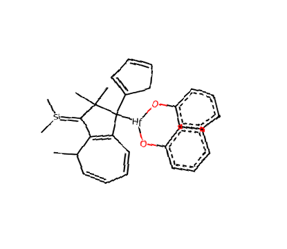 CC1C=CC=CC2=C1C(=[Si](C)C)C(C)(C)[C]2(C1=CC=CC1)[Hf]([O]c1ccccc1)[O]c1ccccc1